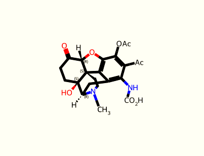 CC(=O)Oc1c2c3c(c(NC(=O)O)c1C(C)=O)C[C@H]1N(C)CC[C@@]34[C@@H](O2)C(=O)CC[C@@]14O